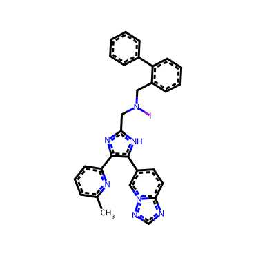 Cc1cccc(-c2nc(CN(I)Cc3ccccc3-c3ccccc3)[nH]c2-c2ccc3ncnn3c2)n1